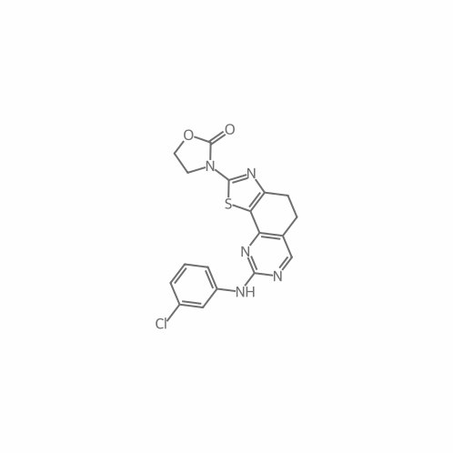 O=C1OCCN1c1nc2c(s1)-c1nc(Nc3cccc(Cl)c3)ncc1CC2